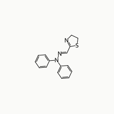 C(=NN(c1ccccc1)c1ccccc1)C1=NCCS1